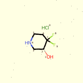 Cl.O[C@@H]1CNCCC1(F)F